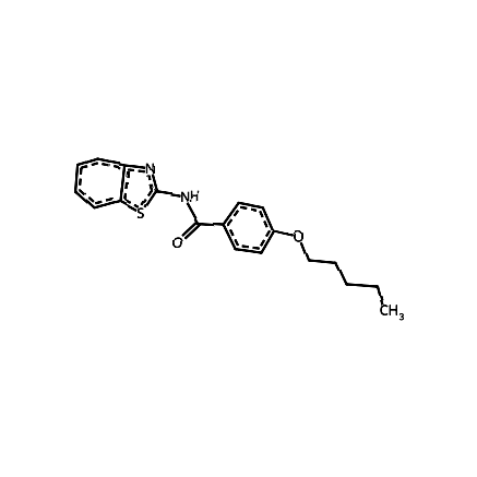 CCCCCOc1ccc(C(=O)Nc2nc3ccccc3s2)cc1